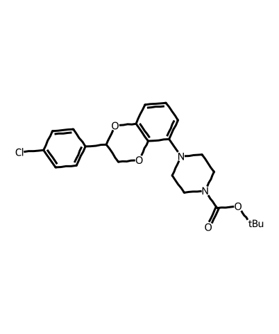 CC(C)(C)OC(=O)N1CCN(c2cccc3c2OCC(c2ccc(Cl)cc2)O3)CC1